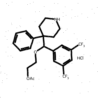 CC(=O)OCCOC(c1cc(C(F)(F)F)cc(C(F)(F)F)c1)C1(c2ccccc2)CCNCC1.Cl